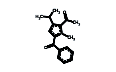 CC(=O)c1c(C(C)C)cc(C(=O)c2ccccc2)n1C